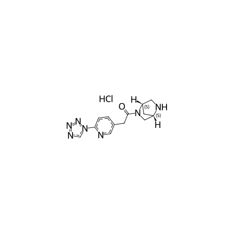 Cl.O=C(Cc1ccc(-n2cnnn2)nc1)N1C[C@@H]2C[C@H]1CN2